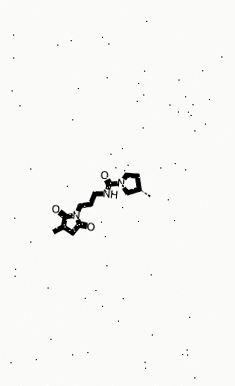 CC1CC(=O)N(CCCNC(=O)N2CC[C@H](C)C2)C1=O